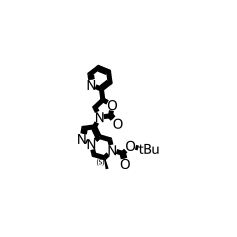 C[C@H]1Cn2ncc(N3CC(c4ccccn4)OC3=O)c2CN1C(=O)OC(C)(C)C